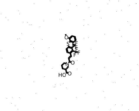 COc1ccccc1Sc1ccc(C=CC(=O)N2CCCC(C(=O)O)C2)c(C(F)(F)F)c1C(F)(F)F